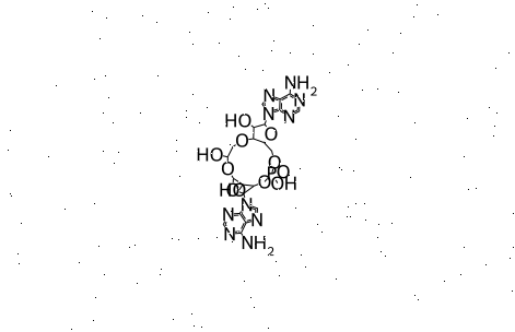 Nc1ncnc2c1ncn2C1OC2COP(=O)(O)OC3C(O)C(OC(O)COC2C1O)OC3n1cnc2c(N)ncnc21